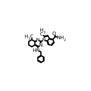 Cc1cc2c(C(N)=O)cccc2n1-c1nc(NCc2ccccc2)c2c(n1)C(C)CCC2